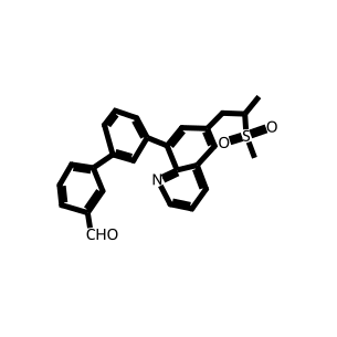 CC(Cc1cc(-c2cccc(-c3cccc(C=O)c3)c2)c2ncccc2c1)S(C)(=O)=O